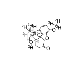 [2H]O[C@@]12CCC(=O)C3Oc4c(OC([2H])([2H])[2H])ccc5c4[C@@]31CCN(C([2H])([2H])[2H])[C@@H]2C5([2H])[2H]